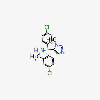 [CH2]c1cc(Cl)ccc1[C@](N)(c1ccc(Cl)cc1)c1cncn1C